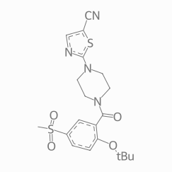 CC(C)(C)Oc1ccc(S(C)(=O)=O)cc1C(=O)N1CCN(c2ncc(C#N)s2)CC1